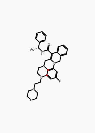 CC(=O)[C@@H](NC(=O)C1=C(CN2CCN(CCN3CCOCC3)CC2)N(c2cccc(F)c2)Cc2ccccc21)c1ccccc1